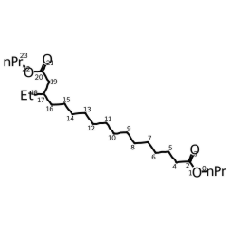 CCCOC(=O)CCCCCCCCCCCCCC(CC)CC(=O)OCCC